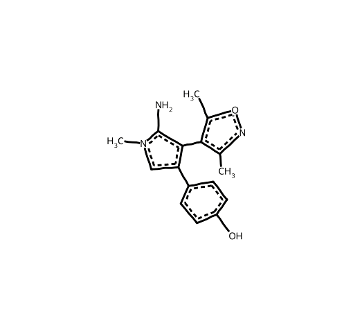 Cc1noc(C)c1-c1c(-c2ccc(O)cc2)cn(C)c1N